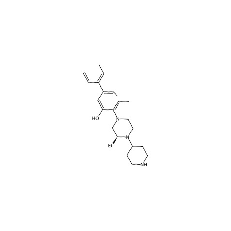 C=CC(=C\C)/C(/C=C(O)\C(=C\C)N1CCN(C2CCNCC2)[C@@H](CC)C1)=C/C